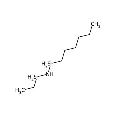 CCCCCC[SiH2]N[SiH2]CC